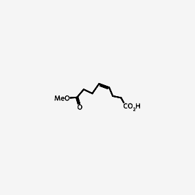 COC(=O)CC/C=C\CCC(=O)O